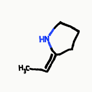 C/C=C1/CCCN1